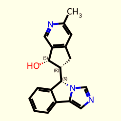 Cc1cc2c(cn1)[C@@H](O)[C@@H]([C@H]1c3ccccc3-c3cncn31)C2